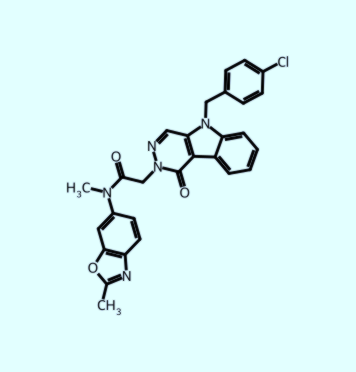 Cc1nc2ccc(N(C)C(=O)Cn3ncc4c(c3=O)c3ccccc3n4Cc3ccc(Cl)cc3)cc2o1